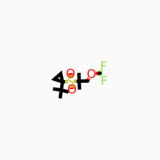 CC(C)(C)C1(S(=O)(=O)C(C)(C)COC(F)F)CC1